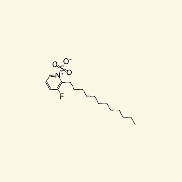 CCCCCCCCCCCCc1c(F)ccc[n+]1S(=O)(=O)[O-]